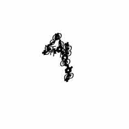 Cc1cc(C(=O)OC(C)(C)C)ccc1CCS(=O)(=O)N1CCC2(CC1)N=C(c1cc(OCC[C@@H]3OC(C)(C)O[C@@H]3COCCN(C)C(=O)OC(C)(C)C)cc(C(F)(F)F)c1)N(C(=O)OC(C)(C)C)C2=O